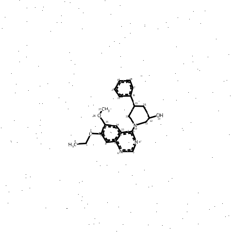 CCOc1cc2ncnc(N3CC(O)CC(c4ccccc4)C3)c2cc1OC